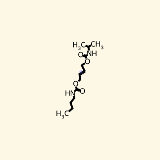 CCCCNC(=O)OC/C=C/COC(=O)NC(C)C